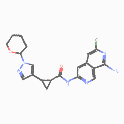 Nc1nc(Cl)cc2cc(NC(=O)C3CC3c3cnn(C4CCCCO4)c3)ncc12